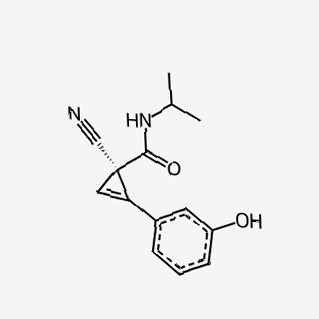 CC(C)NC(=O)[C@]1(C#N)C=C1c1cccc(O)c1